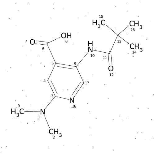 CN(C)c1cc(C(=O)O)c(NC(=O)C(C)(C)C)cn1